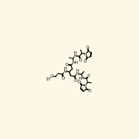 CCOCCC(=O)NC(CC(=O)NC(C)NC(=O)C(C)N1C(=O)C=CC1=O)CC(=O)NC(C)NC(=O)C(C)N1C(=O)C=CC1=O